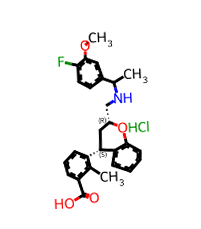 COc1cc(C(C)NC[C@H]2C[C@@H](c3cccc(C(=O)O)c3C)c3ccccc3O2)ccc1F.Cl